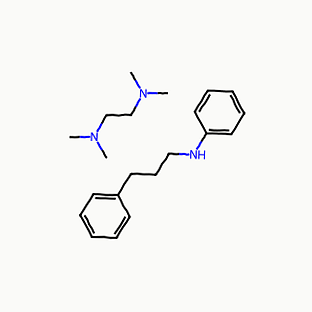 CN(C)CCN(C)C.c1ccc(CCCNc2ccccc2)cc1